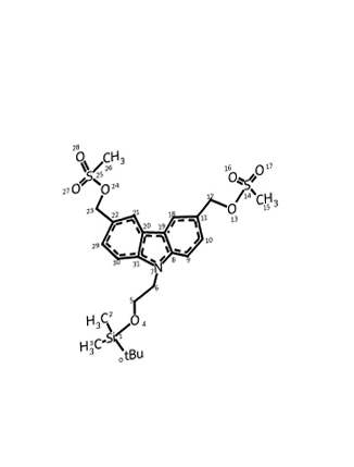 CC(C)(C)[Si](C)(C)OCCn1c2ccc(COS(C)(=O)=O)cc2c2cc(COS(C)(=O)=O)ccc21